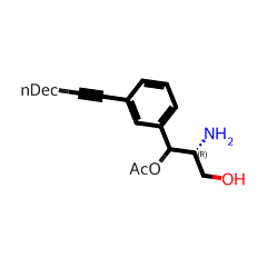 CCCCCCCCCCC#Cc1cccc(C(OC(C)=O)[C@H](N)CO)c1